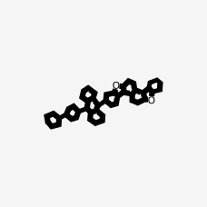 C1=Cc2oc3ccc4c(ccc5oc6cc(-c7c8ccccc8c(-c8ccc(-c9ccccc9)cc8)c8ccccc78)ccc6c54)c3c2CC1